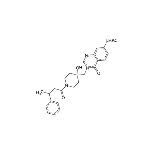 CC(=O)Nc1ccc2c(=O)n(CC3(O)CCN(C(=O)CC(C)c4ccccc4)CC3)cnc2c1